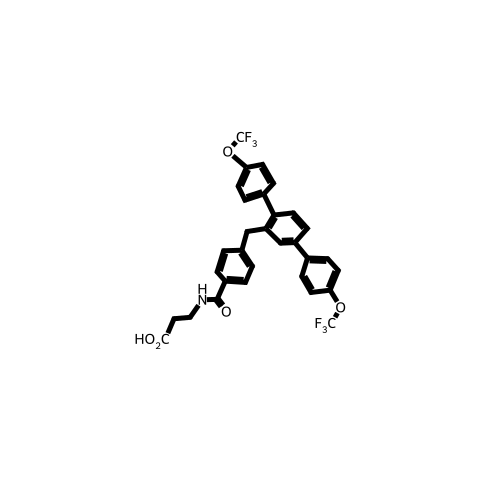 O=C(O)CCNC(=O)c1ccc(Cc2cc(-c3ccc(OC(F)(F)F)cc3)ccc2-c2ccc(OC(F)(F)F)cc2)cc1